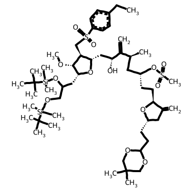 C=C1C[C@H](CCC2OCC(C)(C)CO2)O[C@H]1CC[C@H](C[C@H](C)C(=C)[C@H](O)C[C@@H]1O[C@H](CC(CO[Si](C)(C)C(C)(C)C)O[Si](C)(C)C(C)(C)C)[C@H](OC)[C@H]1CS(=O)(=O)c1ccc(CC)cc1)OS(C)(=O)=O